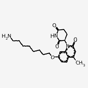 Cc1cc(=O)n(C2CCC(=O)NC2=O)c2cc(OCCCCCCCCN)ccc12